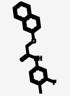 C=C(COc1ccc2ccccc2c1)Nc1ccc(C)c(F)c1